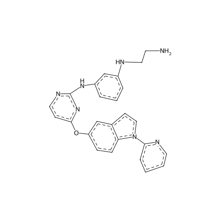 NCCNc1cccc(Nc2nccc(Oc3ccc4c(ccn4-c4ccccn4)c3)n2)c1